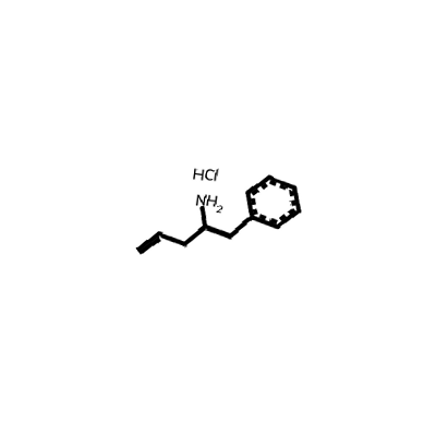 C=CCC(N)Cc1ccccc1.Cl